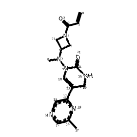 C=CC(=O)N1CC(N(C)N2C=C(c3cncc(C)n3)CNC2=O)C1